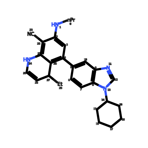 CCCNc1cc(-c2ccc3c(c2)ncn3C2CCCCC2)c2c(c1C#N)NC=CC2CC